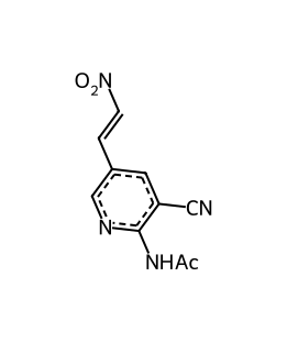 CC(=O)Nc1ncc(C=C[N+](=O)[O-])cc1C#N